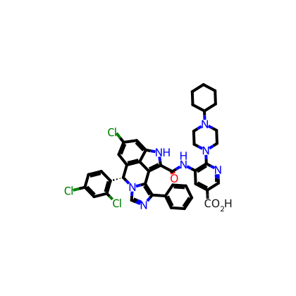 O=C(O)c1cnc(N2CCN(C3CCCCC3)CC2)c(NC(=O)c2[nH]c3cc(Cl)cc4c3c2-c2c(-c3ccccc3)ncn2[C@@H]4c2ccc(Cl)cc2Cl)c1